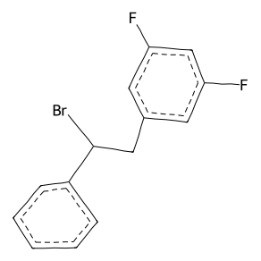 Fc1cc(F)cc(CC(Br)c2ccccc2)c1